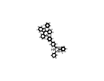 NC(NC(NCC1=CCCC=C1)C1=CC=C(c2ccc(N3C4=CCCC=C4C4=C(C5=C3C=CCC5)C3C=CC=CC3N4c3ccccc3)cc2)CC1)c1ccccc1